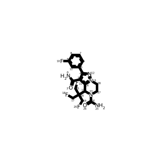 NC(=O)c1c(-c2cccc(F)c2)nn2c1C(C(CF)(CF)CF)N(C(N)=O)CC2